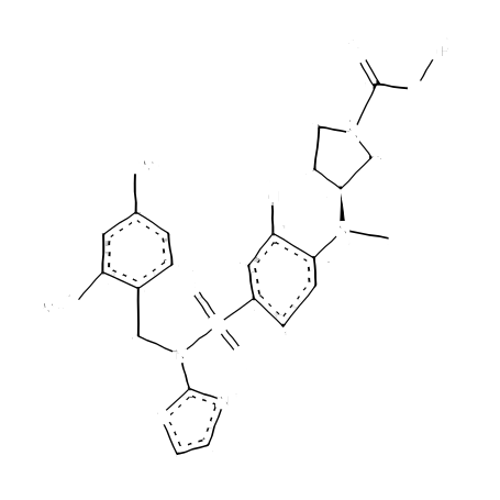 COc1ccc(CN(c2nccs2)S(=O)(=O)c2ccc(N(C)[C@H]3CCN(C(=O)OC(C)(C)C)C3)c(Cl)c2)c(OC)c1